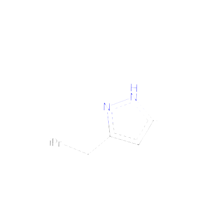 CC(C)Cc1c[c][nH]n1